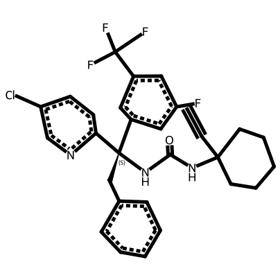 C#CC1(NC(=O)N[C@@](Cc2ccccc2)(c2cc(F)cc(C(F)(F)F)c2)c2ccc(Cl)cn2)CCCCC1